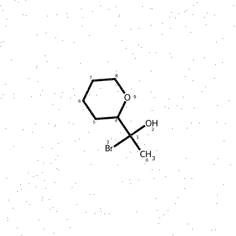 CC(O)(Br)C1CCCCO1